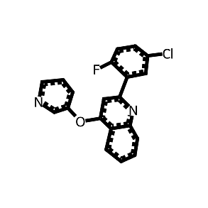 Fc1ccc(Cl)cc1-c1cc(Oc2cccnc2)c2ccccc2n1